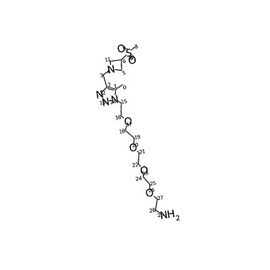 Cc1c(CN2CC(S(C)(=O)=O)C2)nnn1CCOCCOCCOCCOCCN